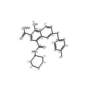 COC(=O)c1cc(C(=O)NC2CCCCC2)c2cc(Cc3ccc(F)cc3)cnc2c1O